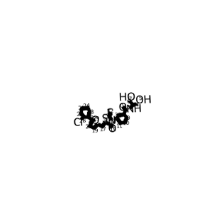 O=C(NC(CO)CO)c1cccc(N2C(=O)C(=Cc3ccc(-c4ccccc4Cl)o3)SC2=S)c1